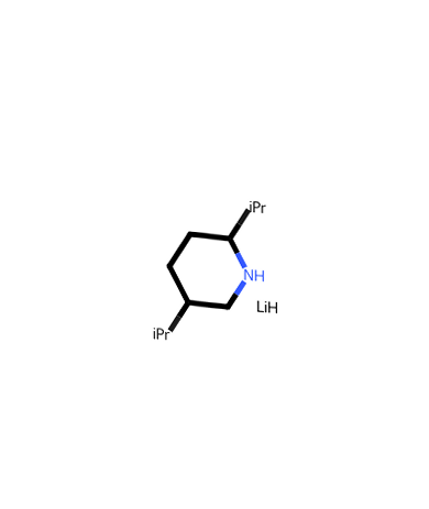 CC(C)C1CCC(C(C)C)NC1.[LiH]